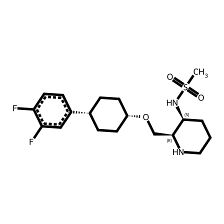 CS(=O)(=O)N[C@H]1CCCN[C@H]1CO[C@H]1CC[C@@H](c2ccc(F)c(F)c2)CC1